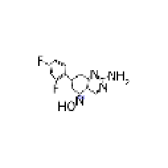 Nc1ncc2c(n1)CC(c1ccc(F)cc1F)C/C2=N\O